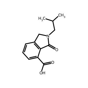 CC(C)CN1Cc2cccc(C(=O)O)c2C1=O